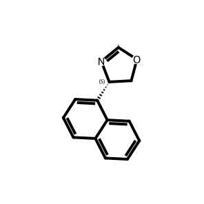 [C]1=N[C@@H](c2cccc3ccccc23)CO1